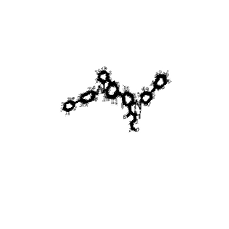 C/C=C\C=C/C(C)c1cc(C2=CCC3C(=C2)c2ccccc2N3c2ccc(-c3ccccc3)cc2)ccc1NC1C=CC(c2ccccc2)=CC1